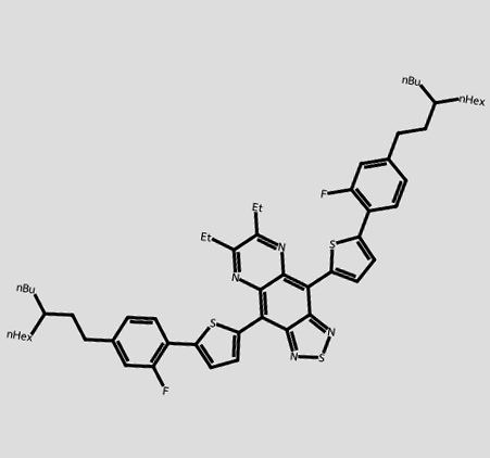 CCCCCCC(CCCC)CCc1ccc(-c2ccc(-c3c4nsnc4c(-c4ccc(-c5ccc(CCC(CCCC)CCCCCC)cc5F)s4)c4nc(CC)c(CC)nc34)s2)c(F)c1